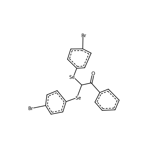 O=C(c1ccccc1)C([Se]c1ccc(Br)cc1)[Se]c1ccc(Br)cc1